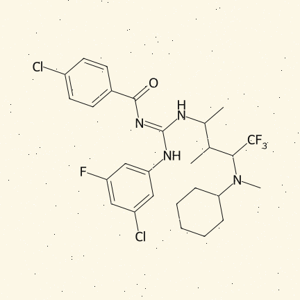 CC(N/C(=N\C(=O)c1ccc(Cl)cc1)Nc1cc(F)cc(Cl)c1)C(C)C(N(C)C1CCCCC1)C(F)(F)F